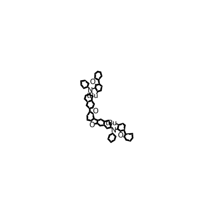 CC(C)(C)c1ccc2c(oc3ccccc32)c1N(c1ccccc1)c1ccc2cc3c(cc2c1)oc1c3ccc2oc3cc4cc(N(c5ccccc5)c5c(C(C)(C)C)ccc6c5oc5ccccc56)ccc4cc3c21